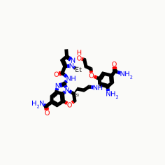 CCn1nc(C)cc1C(=O)Nc1nc2cc(C(N)=O)cc3c2n1[C@@H](CCCNc1c(N)cc(C(N)=O)cc1OCCCO)CO3